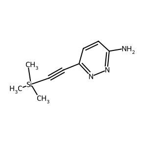 C[Si](C)(C)C#Cc1ccc(N)nn1